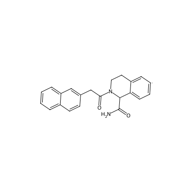 NC(=O)C1c2cc[c]cc2CCN1C(=O)Cc1ccc2ccccc2c1